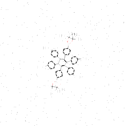 Cc1ccc(C2=C(c3ccc(B4OC(C)(C)C(C)(C)O4)cc3)C(c3ccc(C)cc3)C(c3ccc(C)cc3)C(c3ccc(B4OC(C)(C)C(C)(C)O4)cc3)=C2c2ccc(C)cc2)cc1